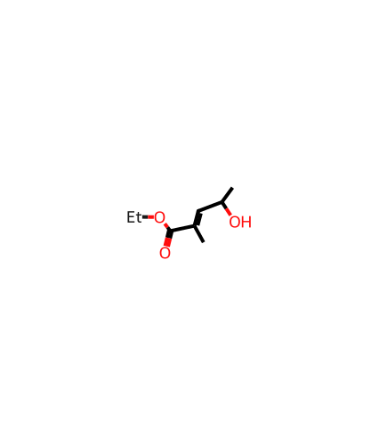 CCOC(=O)C(C)=CC(C)O